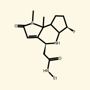 CCNC(=O)C[C@@H]1NC2C(CC[C@H]2F)C2(C)C1=CC(=O)N2C